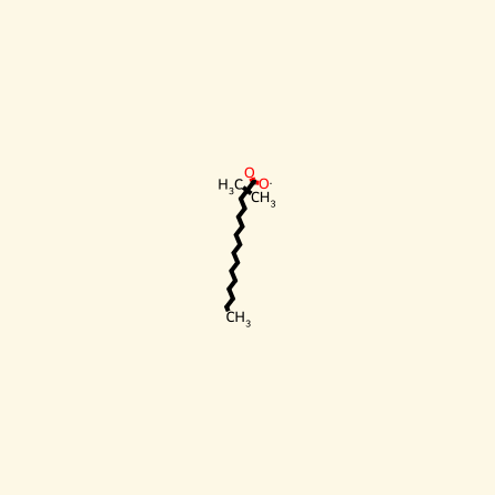 CCCCCCCCCCCCCCC(C)(C)C([O])=O